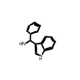 C[CH]CC(c1ccccc1)c1c[nH]c2ccccc12